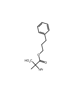 CCCC(C)(C(=O)O)C(=O)OCCCc1ccccc1